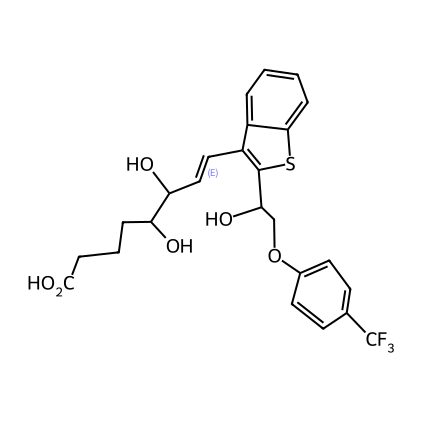 O=C(O)CCCC(O)C(O)/C=C/c1c(C(O)COc2ccc(C(F)(F)F)cc2)sc2ccccc12